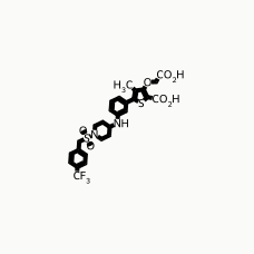 Cc1c(-c2cccc(NC3CCN(S(=O)(=O)Cc4ccc(C(F)(F)F)cc4)CC3)c2)sc(C(=O)O)c1OCC(=O)O